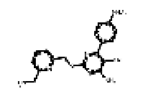 CC(=O)Nc1ccc(-c2nc(SCc3cccc(CN)n3)nc(N)c2C#N)cc1